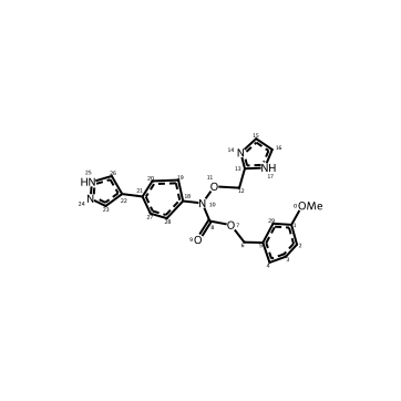 COc1cccc(COC(=O)N(OCc2ncc[nH]2)c2ccc(-c3cn[nH]c3)cc2)c1